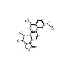 CC[C@@H](OC(C)(C)C)[C@H]1COC(=O)N1c1ccnc(N[C@@H](C)c2ccc(OC(F)(F)F)cc2)n1